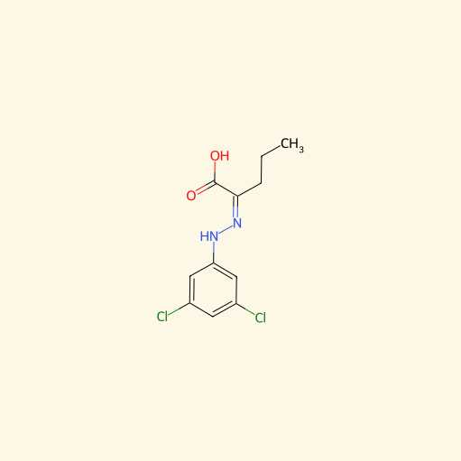 CCCC(=NNc1cc(Cl)cc(Cl)c1)C(=O)O